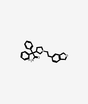 NC(=O)C(c1ccccc1)(c1ccccc1)C1CCN(CCc2ccc3c(c2)COC3)C1